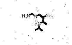 C=C(C)NC(=C)/C(N)=C\NCN